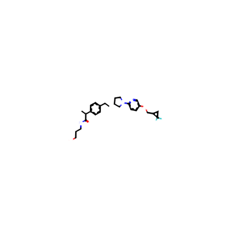 CC(C(=O)NCCCO)c1ccc(CC[C@@H]2CCN(c3ccc(OCC4CC4(F)F)cn3)C2)cc1